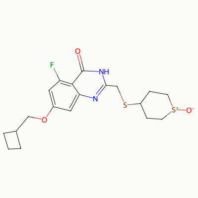 O=c1[nH]c(CSC2CC[S+]([O-])CC2)nc2cc(OCC3CCC3)cc(F)c12